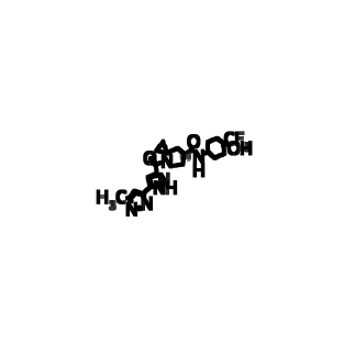 Cc1cc(-c2cc(C(=O)N3CC[C@H](C(=O)NC4CCC(O)(C(F)(F)F)CC4)CC34CC4)n[nH]2)ncn1